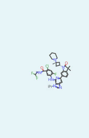 CC(C)n1cnc2cc(-c3ccc4c(c3)N([C@H]3C[C@@](C)(N5CCCCC5)C3)C(=O)C4(C)C)nc(Nc3cc(C(=O)NCC(F)F)c(Cl)cc3F)c21